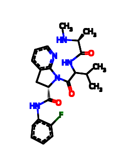 CN[C@@H](C)C(=O)NC(C(=O)N1c2ncccc2C[C@H]1C(=O)Nc1ccccc1F)C(C)C